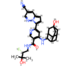 CC(C)(O)[C@H](F)CNC(=O)c1cnc(-c2ccc3cc(C#N)cnn23)cc1NC1C2CC3CC1CC(O)(C3)C2